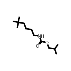 CC(C)COC(=O)NCCCCC(C)(C)C